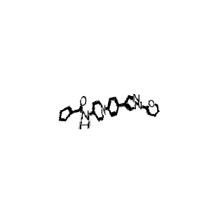 O=C(NC1CCN(c2ccc(-c3cnn(C4CCCCO4)c3)cc2)CC1)C1CCCC1